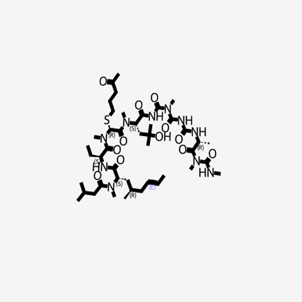 C/C=C/C[C@@H](C)C[C@@H](C(=O)N[C@@H](CC)C(=O)N(C)[C@H](SCCCC(C)=O)C(=O)N(C)[C@@H](CC(C)(C)O)C(=O)NC(=O)N(C)C(=O)NC(=O)N[C@H](C)C(=O)N(C)C(=O)NC)N(C)C(=O)CC(C)C